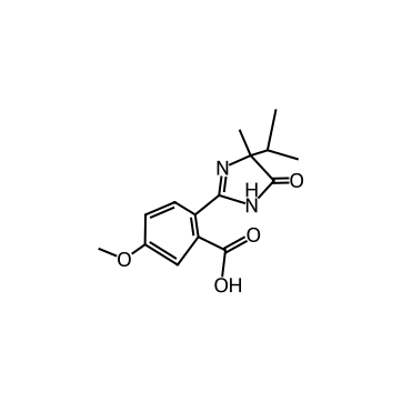 COc1ccc(C2=NC(C)(C(C)C)C(=O)N2)c(C(=O)O)c1